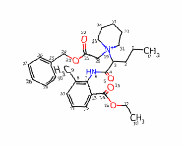 CCCC(C(=O)Nc1c(C)cccc1C(=O)OCC)[N+]1(CC(=O)OCc2ccccc2)CCCCC1